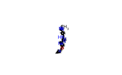 Cn1ncc(-c2ccc(CNc3cc(-c4cnc5cc(OCCN6CC7CC7C6)ccn45)ncn3)cc2)n1